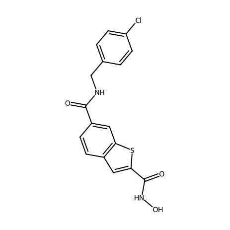 O=C(NCc1ccc(Cl)cc1)c1ccc2cc(C(=O)NO)sc2c1